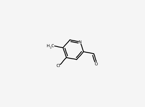 Cc1cnc(C=O)cc1Cl